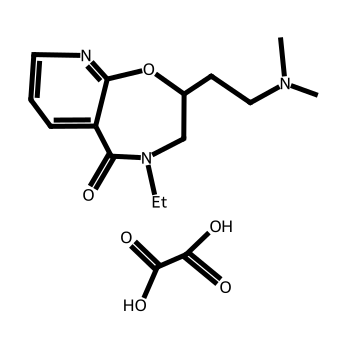 CCN1CC(CCN(C)C)Oc2ncccc2C1=O.O=C(O)C(=O)O